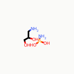 NCC(O)CO.NP(O)O